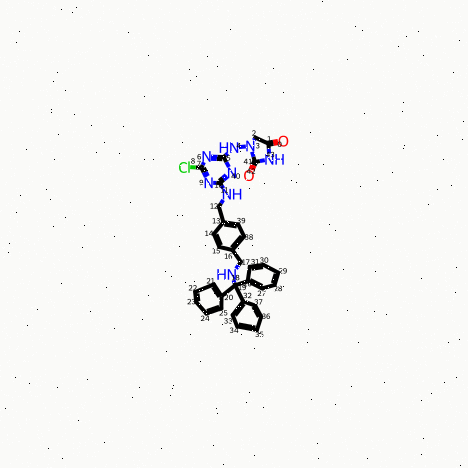 O=C1CN(Nc2nc(Cl)nc(NCc3ccc(CNC(c4ccccc4)(c4ccccc4)c4ccccc4)cc3)n2)C(=O)N1